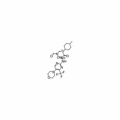 CC1CCC([C@H](CN(O)C=O)C(=O)NNc2ncc(N3CCOCC3)c(C(F)(F)F)n2)CC1